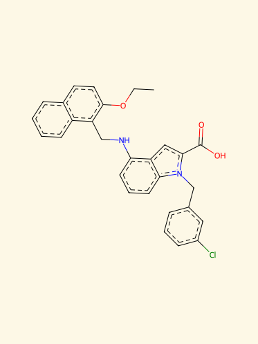 CCOc1ccc2ccccc2c1CNc1cccc2c1cc(C(=O)O)n2Cc1cccc(Cl)c1